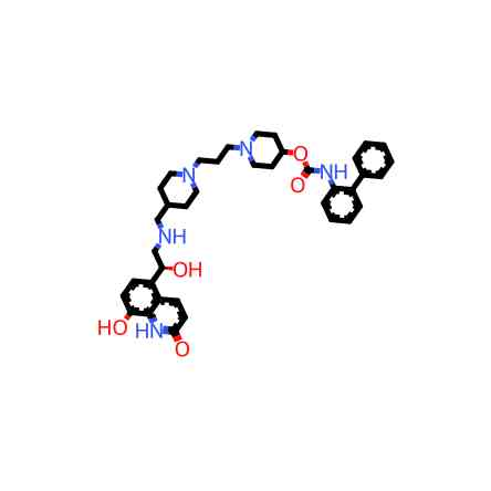 O=C(Nc1ccccc1-c1ccccc1)OC1CCN(CCCN2CCC(CNC[C@@H](O)c3ccc(O)c4[nH]c(=O)ccc34)CC2)CC1